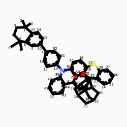 CC1(C)CCC(C)(C)c2cc(-c3ccc(N(c4ccc5c(c4)C4(c6ccccc6S5)C5CC6CC7CC4C75C6)c4ccccc4-c4ccccc4)cc3)ccc21